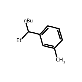 CCCCC(CC)c1cccc(C)c1